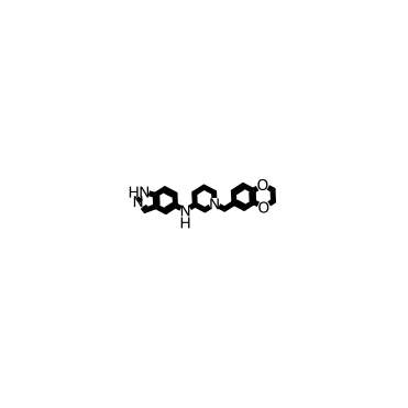 c1cc2c(cc1CN1CCCC(Nc3ccc4[nH]ncc4c3)C1)OCCO2